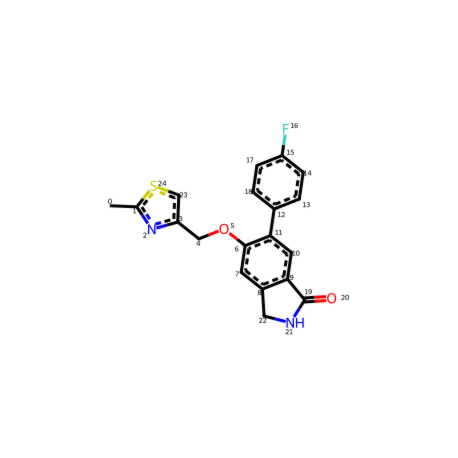 Cc1nc(COc2cc3c(cc2-c2ccc(F)cc2)C(=O)NC3)cs1